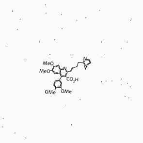 COc1ccc(-c2c(C(=O)O)c(C=CCCc3nccn3C)nc3cc(OC)c(OC)cc23)cc1OC